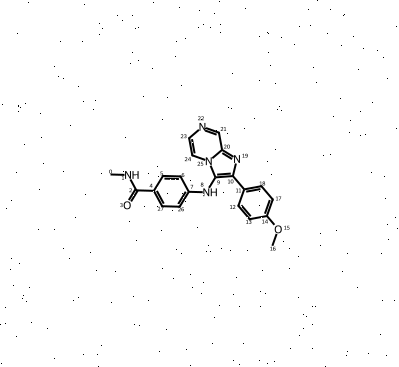 CNC(=O)c1ccc(Nc2c(-c3ccc(OC)cc3)nc3cnccn23)cc1